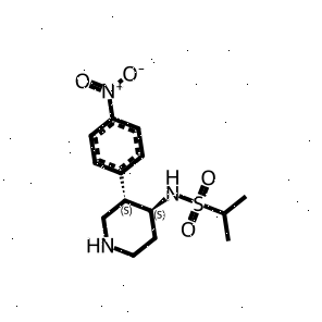 CC(C)S(=O)(=O)N[C@H]1CCNC[C@@H]1c1ccc([N+](=O)[O-])cc1